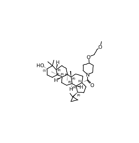 COCCOC1CCN(C(=O)[C@]23CC[C@@H](C4(C)CC4)[C@@H]2[C@H]2CC[C@@H]4[C@@]5(C)CC[C@H](O)C(C)(C)[C@@H]5CC[C@@]4(C)[C@]2(C)CC3)CC1